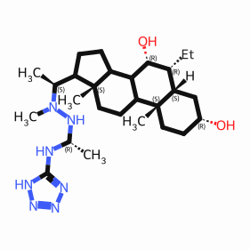 CC[C@H]1[C@@H](O)C2C3CCC([C@H](C)N(C)N[C@H](C)Nc4nnn[nH]4)[C@@]3(C)CCC2[C@@]2(C)CC[C@@H](O)C[C@@H]12